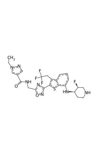 CCn1cc(C(=O)NCc2nc(-c3sc4c(N[C@@H]5CCNC[C@@H]5F)cccc4c3CC(F)(F)F)no2)cn1